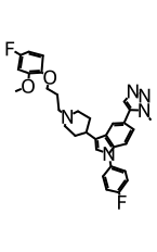 COc1cc(F)ccc1OCCCN1CCC(c2cn(-c3ccc(F)cc3)c3ccc(-c4cnnn4C)cc23)CC1